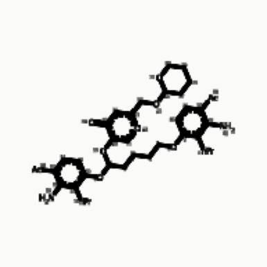 CCCc1c(OCCCCC(Oc2ccc(C(C)=O)c(N)c2CCC)Oc2coc(COC3CCCCO3)cc2=O)ccc(C(C)=O)c1N